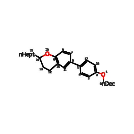 CCCCCCCCCCOc1ccc(-c2ccc3c(c2)CCC(CCCCCCC)O3)cc1